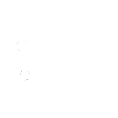 CCCCCCCCCCCCCCCn1cc[n+](CCCc2ccccc2)c1CCCCC